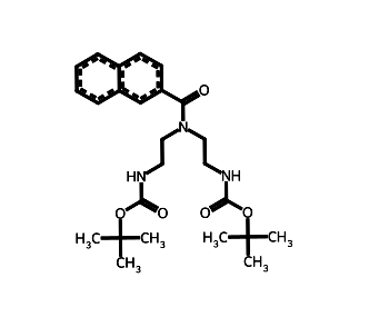 CC(C)(C)OC(=O)NCCN(CCNC(=O)OC(C)(C)C)C(=O)c1ccc2ccccc2c1